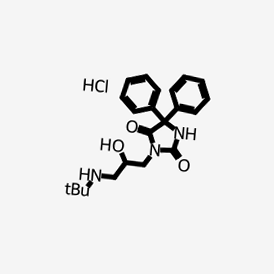 CC(C)(C)NCC(O)CN1C(=O)NC(c2ccccc2)(c2ccccc2)C1=O.Cl